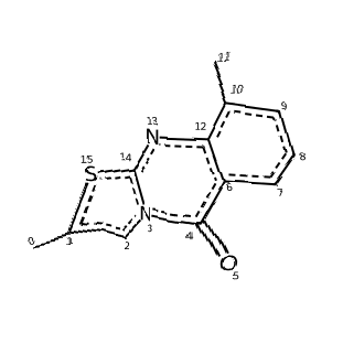 Cc1cn2c(=O)c3cccc(C)c3nc2s1